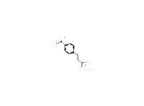 CCCCC(Br)CCc1ccc(C(=O)Cl)cc1